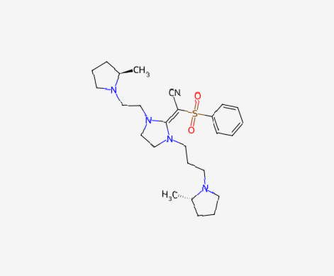 C[C@@H]1CCCN1CCN1CCN(CCCN2CCC[C@@H]2C)/C1=C(/C#N)S(=O)(=O)c1ccccc1